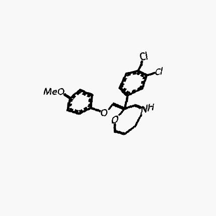 COc1ccc(OCC2(c3ccc(Cl)c(Cl)c3)CNCCCO2)cc1